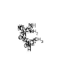 Bc1cc(-n2nc(C(=O)N3CCC(n4c(=O)[nH]c5ccc(CC)cc54)CC3)cc2C2=CCCN=C2)ccc1C=N